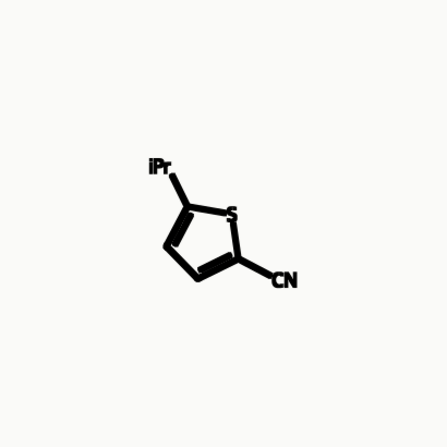 CC(C)c1ccc(C#N)s1